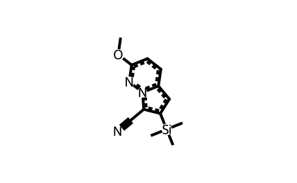 COc1ccc2cc([Si](C)(C)C)c(C#N)n2n1